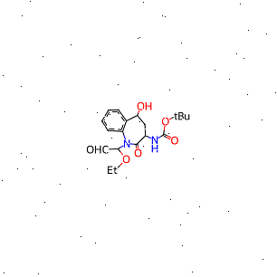 CCOC(C=O)N1C(=O)C(NC(=O)OC(C)(C)C)CC(O)c2ccccc21